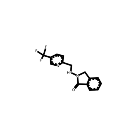 O=C1c2ccccc2CN1NCc1ccc(C(F)(F)F)cn1